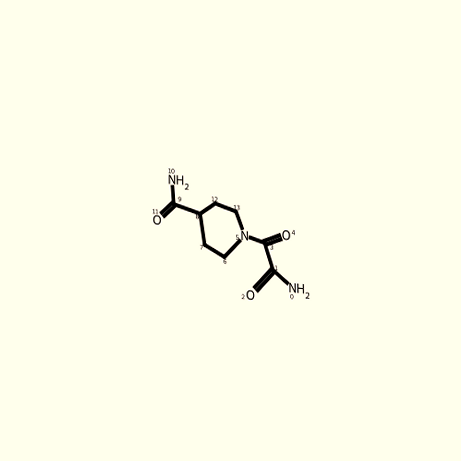 NC(=O)C(=O)N1CCC(C(N)=O)CC1